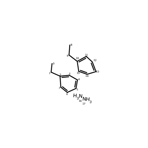 CCc1ccccc1.CCc1ccccc1.N.N